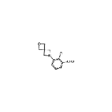 O=Cc1cccc(N2CC3(COC3)C2)c1Cl